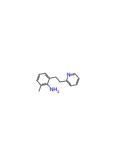 Cc1cccc(CCc2ccccn2)c1N